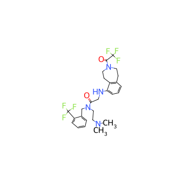 CN(C)CCN(Cc1ccccc1C(F)(F)F)C(=O)CNc1cccc2c1CCN(C(=O)C(F)(F)F)CC2